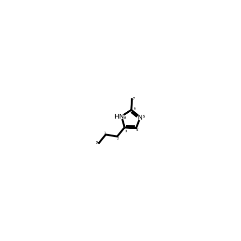 CCCc1[c]nc(C)[nH]1